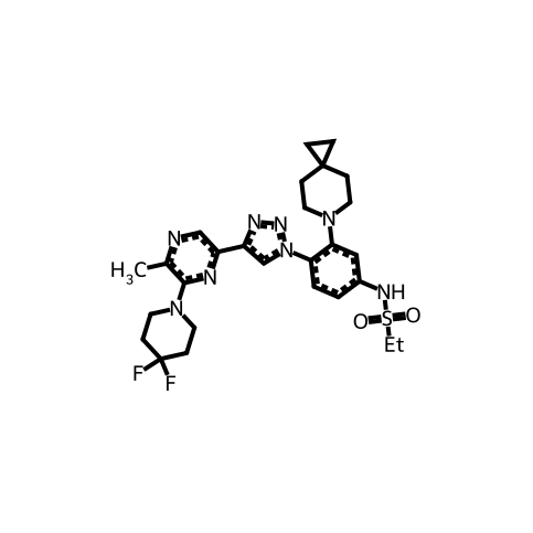 CCS(=O)(=O)Nc1ccc(-n2cc(-c3cnc(C)c(N4CCC(F)(F)CC4)n3)nn2)c(N2CCC3(CC2)CC3)c1